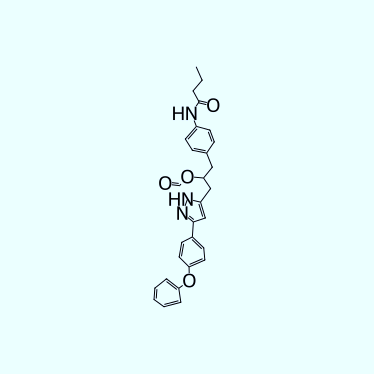 CCCC(=O)Nc1ccc(CC(Cc2cc(-c3ccc(Oc4ccccc4)cc3)n[nH]2)OC=O)cc1